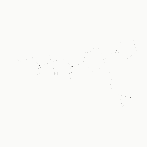 CCC(CC)(NC(=O)c1ccc(N2CCCC2)c(OCC2CC2)n1)C(=O)OCF